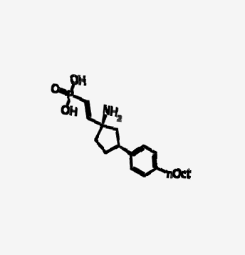 CCCCCCCCc1ccc([C@H]2CC[C@](N)(C=CP(=O)(O)O)C2)cc1